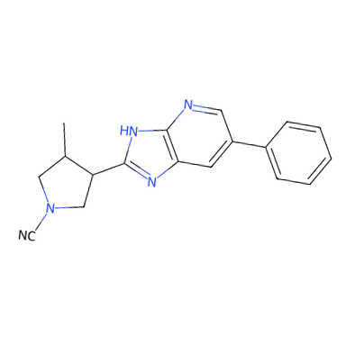 CC1CN(C#N)CC1c1nc2cc(-c3ccccc3)cnc2[nH]1